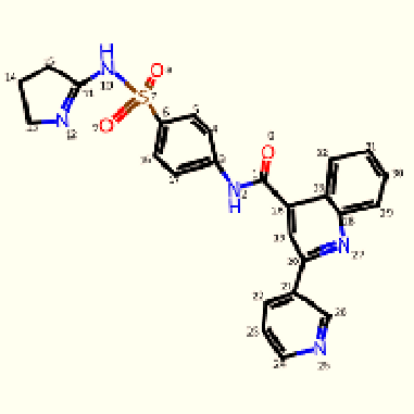 O=C(Nc1ccc(S(=O)(=O)NC2=NCCC2)cc1)c1cc(-c2cccnc2)nc2ccccc12